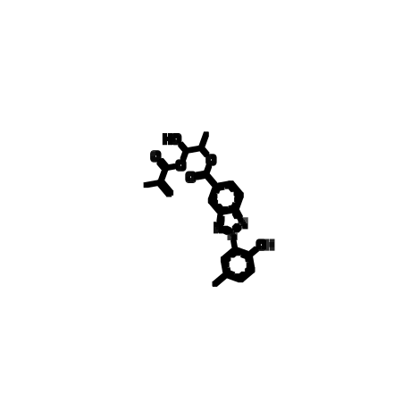 C=C(C)C(=O)OC(O)C(C)OC(=O)c1ccc2nn(-c3cc(C)ccc3O)nc2c1